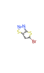 Brc1cc2snnc2s1